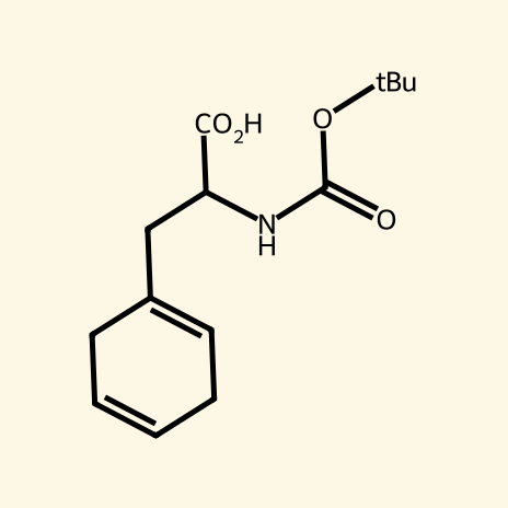 CC(C)(C)OC(=O)NC(CC1=CCC=CC1)C(=O)O